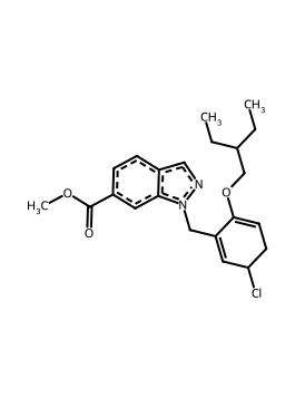 CCC(CC)COC1=CCC(Cl)C=C1Cn1ncc2ccc(C(=O)OC)cc21